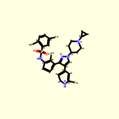 O=S(=O)(Nc1cccc(-c2nn(C3CCN(C4CC4)CC3)cc2C2=CCNC(F)=C2)c1F)c1cc(F)ccc1F